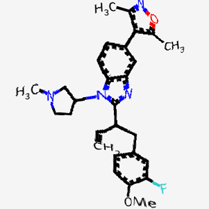 C=CC(Cc1ccc(OC)c(F)c1)c1nc2cc(-c3c(C)noc3C)ccc2n1C1CCN(C)C1